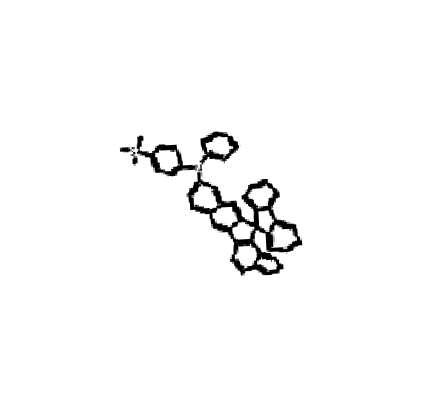 C[Si](C)(C)c1ccc(N(c2ccccc2)c2ccc3cc4c(cc3c2)C2(c3ccccc3-c3ccccc32)c2c-4ccc3ccccc23)cc1